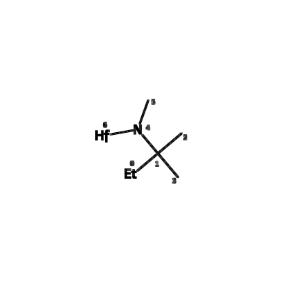 CCC(C)(C)[N](C)[Hf]